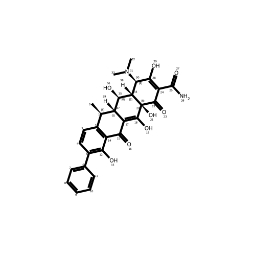 C[C@@H]1c2ccc(-c3ccccc3)c(O)c2C(=O)C2=C(O)[C@@]3(O)C(=O)C(C(N)=O)=C(O)[C@H](N(C)C)[C@H]3[C@H](O)[C@H]21